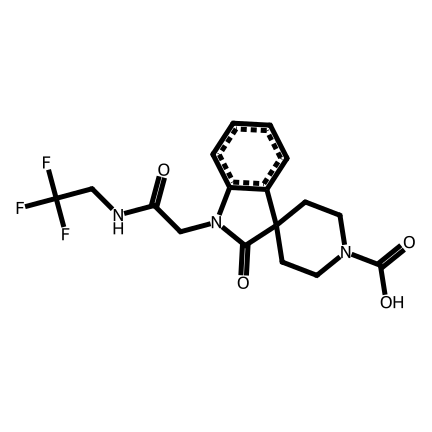 O=C(CN1C(=O)C2(CCN(C(=O)O)CC2)c2ccccc21)NCC(F)(F)F